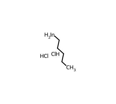 CCCC[CH2][InH2].Cl.Cl